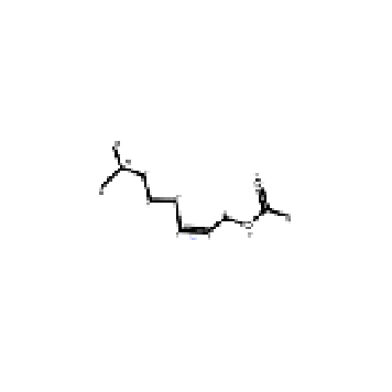 CC(=O)OC/C=C\CCCC(C)C